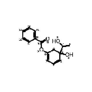 CC(O)C1(O)C=CC=C(OC(=O)c2ccccc2)C1